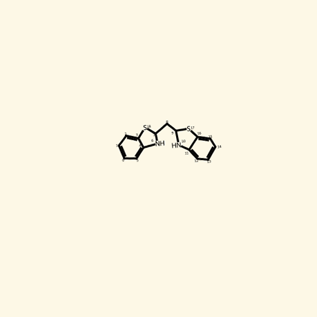 c1ccc2c(c1)NC(CC1Nc3ccccc3S1)S2